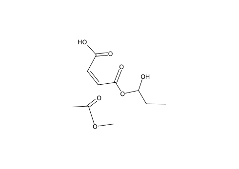 CCC(O)OC(=O)/C=C\C(=O)O.COC(C)=O